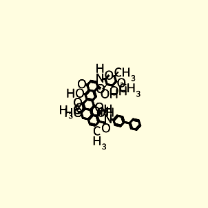 CO[C@@H]1[C@@H](O)[C@@H](CO)C(NC2=CC(=O)c3c(cc4c(c3O)C(=O)[C@]3(OC)[C@H](O)Cc5cc(C)c(C(=O)Nc6ccc(-c7ccccc7)cc6)c(O)c5[C@]3(O)C4=O)C2=O)O[C@H]1C